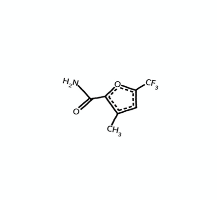 Cc1cc(C(F)(F)F)oc1C(N)=O